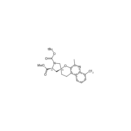 COC(=O)[C@@H]1C[C@@]2(CCc3c(c(C)nc4c(C(F)(F)F)cccc34)O2)CN1C(=O)OC(C)(C)C